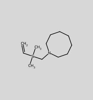 C=C[Si](C)(C)CN1CCCCCCC1